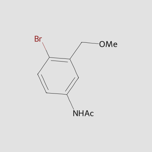 COCc1cc(NC(C)=O)ccc1Br